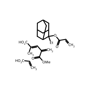 C=C(C=C(C)C(=O)O)C(=O)OC.C=CC(=O)O.C=CC(=O)OC1(CC)C2CC3CC(C2)CC1C3